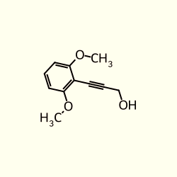 COc1cccc(OC)c1C#CCO